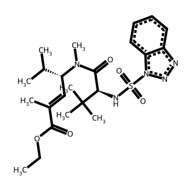 CCOC(=O)/C(C)=C/[C@H](C(C)C)N(C)C(=O)[C@@H](NS(=O)(=O)n1nnc2ccccc21)C(C)(C)C